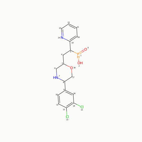 O=[PH](O)C(CC1CNC(c2ccc(Cl)c(Cl)c2)CO1)c1ccccn1